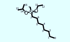 CCCCCCCC[Si](C)(OCC)OC(C)C